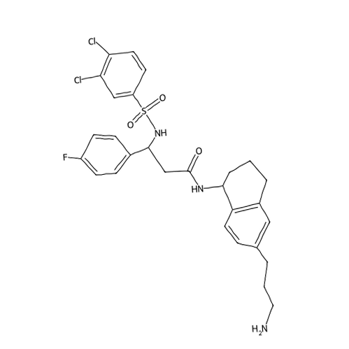 NCCCc1ccc2c(c1)CCCC2NC(=O)CC(NS(=O)(=O)c1ccc(Cl)c(Cl)c1)c1ccc(F)cc1